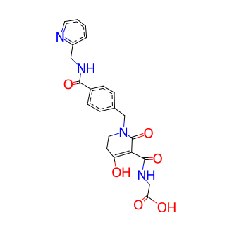 O=C(O)CNC(=O)C1=C(O)CCN(Cc2ccc(C(=O)NCc3ccccn3)cc2)C1=O